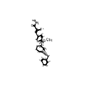 Cl.Cl.O=C(NO)C(F)=Cc1ccc(N[C@@H]2CCCN(CC3CCCCC3)C2)nc1